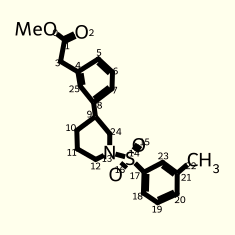 COC(=O)Cc1cccc(C2CCCN(S(=O)(=O)c3cccc(C)c3)C2)c1